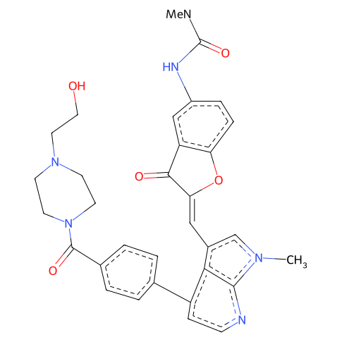 CNC(=O)Nc1ccc2c(c1)C(=O)C(=Cc1cn(C)c3nccc(-c4ccc(C(=O)N5CCN(CCO)CC5)cc4)c13)O2